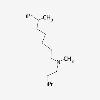 CC(C)CCN(C)CCCCCC(C)C(C)C